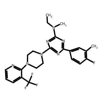 CCN(C)c1nc(-c2ccc(F)c(C)c2)nc(N2CCN(c3ncccc3C(F)(F)F)CC2)n1